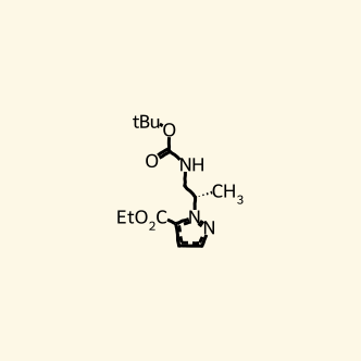 CCOC(=O)c1ccnn1[C@@H](C)CNC(=O)OC(C)(C)C